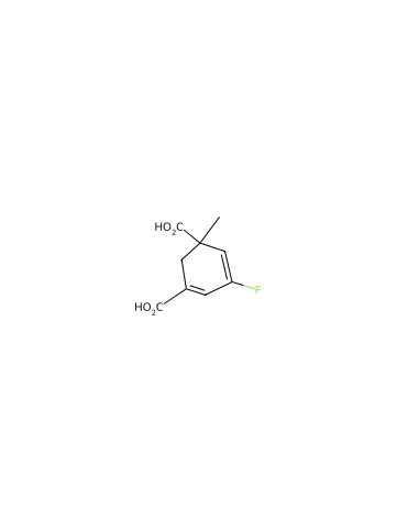 CC1(C(=O)O)C=C(F)C=C(C(=O)O)C1